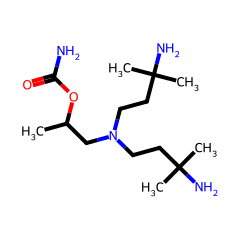 CC(CN(CCC(C)(C)N)CCC(C)(C)N)OC(N)=O